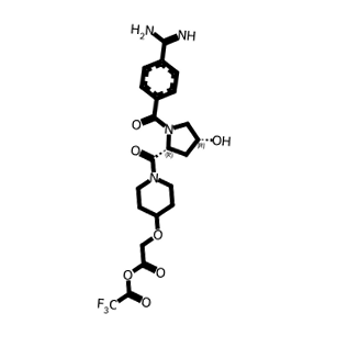 N=C(N)c1ccc(C(=O)N2C[C@H](O)C[C@@H]2C(=O)N2CCC(OCC(=O)OC(=O)C(F)(F)F)CC2)cc1